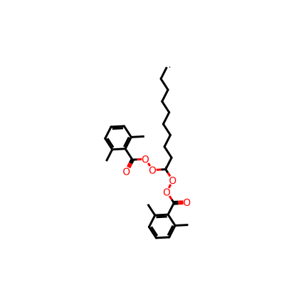 [CH2]CCCCCCCC[C](OOC(=O)c1c(C)cccc1C)OOC(=O)c1c(C)cccc1C